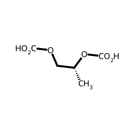 C[C@H](COC(=O)O)OC(=O)O